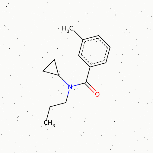 CCCN(C(=O)c1cccc(C)c1)C1CC1